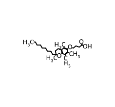 CCCCCCCCCC1(C)CCc2c(C)c(OCCCC(=O)O)c(C)c(C)c2O1